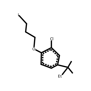 CCC(C)(C)c1ccc(OCCCI)c(Cl)c1